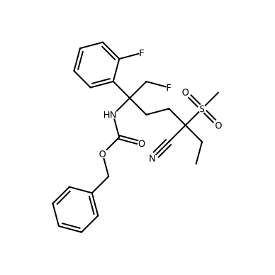 CCC(C#N)(CCC(CF)(NC(=O)OCc1ccccc1)c1ccccc1F)S(C)(=O)=O